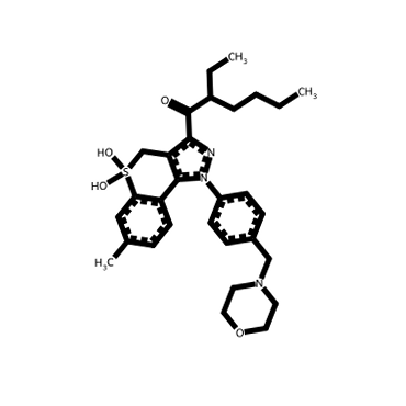 CCCCC(CC)C(=O)c1nn(-c2ccc(CN3CCOCC3)cc2)c2c1CS(O)(O)c1cc(C)ccc1-2